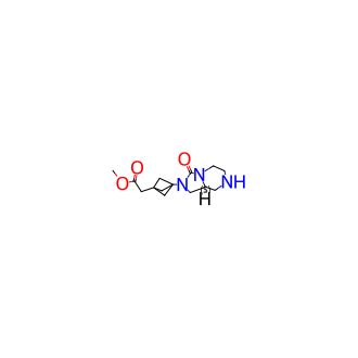 COC(=O)CC12CC(N3C[C@@H]4CNCCN4C3=O)(C1)C2